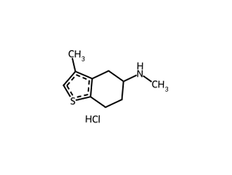 CNC1CCc2scc(C)c2C1.Cl